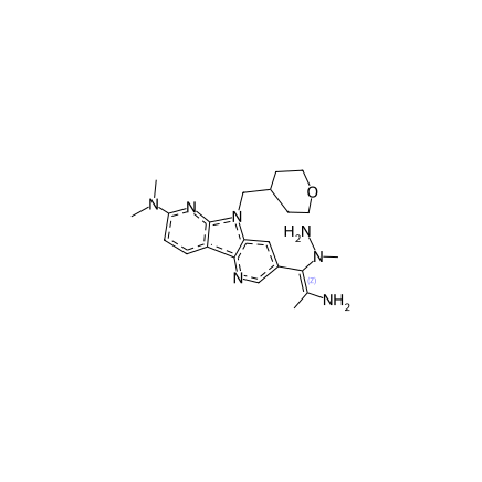 C/C(N)=C(\c1cnc2c3ccc(N(C)C)nc3n(CC3CCOCC3)c2c1)N(C)N